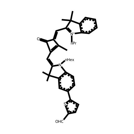 CCCCCCN1C(=CC2=C(C)C(=CC3=[N+](CCC)c4ccccc4C3(C)C)C2=O)C(C)(C)c2cc(-c3ccc(C=O)s3)ccc21